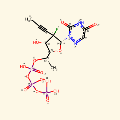 CC#CC1(F)[C@@H](O)[C@@H]([C@H](C)OP(=O)(O)OP(=O)(O)OP(=O)(O)O)O[C@H]1n1ncc(=O)[nH]c1=O